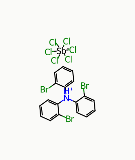 Brc1ccccc1[NH+](c1ccccc1Br)c1ccccc1Br.[Cl][Sb-]([Cl])([Cl])([Cl])([Cl])[Cl]